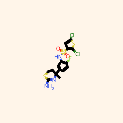 CC1(c2ccc(F)c(NS(=O)(=O)c3cc(Cl)sc3Cl)c2)CCSC(N)=N1